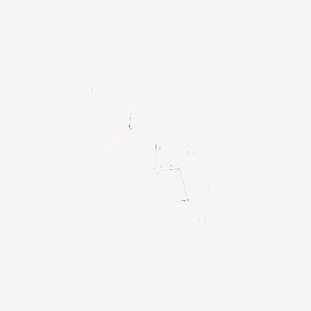 COC(=O)c1nc(C(C)(F)F)cs1